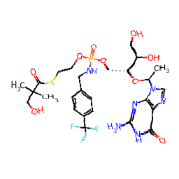 CC(O[C@H](COP(=O)(NCc1ccc(C(F)(F)F)cc1)OCCSC(=O)C(C)(C)CO)C(O)CO)n1cnc2c(=O)[nH]c(N)nc21